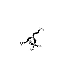 CCCN(COC)C[Si](C)(C)C